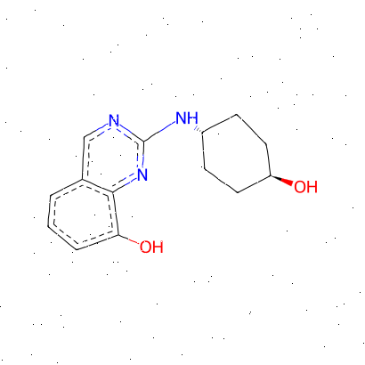 Oc1cccc2cnc(N[C@H]3CC[C@H](O)CC3)nc12